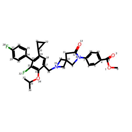 COC(=O)c1ccc(N2CC3(CC2=O)CN(Cc2cc(C4CC4)c(-c4ccc(F)cc4)c(F)c2OC(C)C)C3)cc1